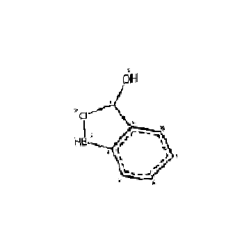 OC1OBc2ccccc21